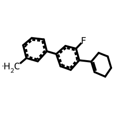 [CH2]c1cccc(-c2ccc(C3=CCCCC3)c(F)c2)c1